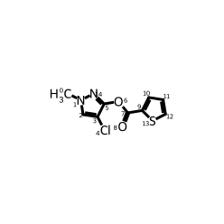 Cn1cc(Cl)c(OC(=O)c2cccs2)n1